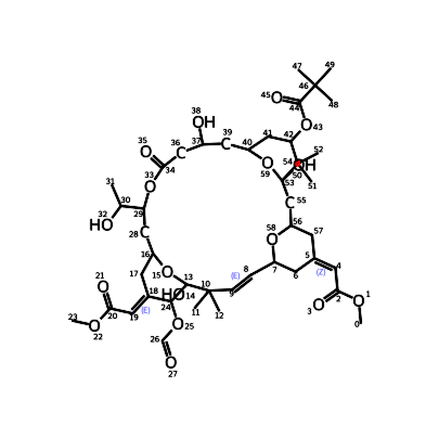 COC(=O)/C=C1\CC2/C=C/C(C)(C)C3(O)OC(C/C(=C\C(=O)OC)C3OC=O)CC(C(C)O)OC(=O)CC(O)CC3CC(OC(=O)C(C)(C)C)C(C)(C)C(O)(CC(C1)O2)O3